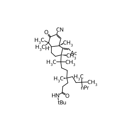 CCCC(C)(C)CC[C@](C)(CCC(=O)NC(C)(C)C)CCC(C)(C)[C@]1(C)CC[C@H]2C(C)(C)C(=O)C(C#N)=C[C@]2(C)/C1=C/C(C)=O